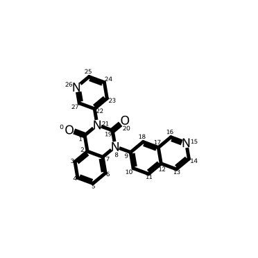 O=c1c2ccccc2n(-c2ccc3ccncc3c2)c(=O)n1-c1cccnc1